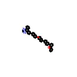 c1ccc2c(c1)oc1c(-c3ccc4cc(-c5ccc6cc(-c7ccc8cc(-c9ccc%10c(c9)c9ccccc9c9nccnc%109)ccc8c7)ccc6c5)ccc4c3)cccc12